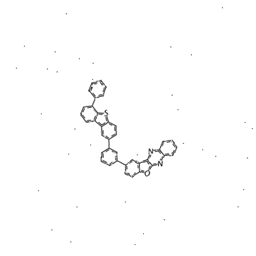 c1ccc(-c2cccc3c2sc2ccc(-c4cccc(-c5ccc6oc7nc8ccccc8nc7c6c5)c4)cc23)cc1